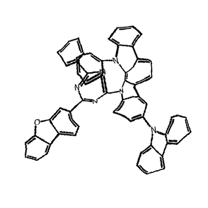 c1ccc(-c2nc(-c3ccc4c(c3)oc3ccccc34)nc(-n3c4ccc(-n5c6ccccc6c6ccccc65)cc4c4ccc5c6ccccc6n(-c6ccccc6)c5c43)n2)cc1